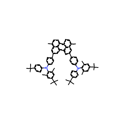 Cc1cc(C(C)(C)C)cc(C)c1N(c1ccc(-c2cc3c(C)ccc4c5ccc(C)c6cc(-c7ccc(N(c8ccc(C(C)(C)C)cc8)c8c(C)cc(C(C)(C)C)cc8C)cc7)cc(c(c2)c34)c65)cc1)c1ccc(C(C)(C)C)cc1